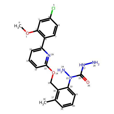 COc1cc(Cl)ccc1-c1cccc(OCc2c(C)cccc2N(N)C(=O)NN)n1